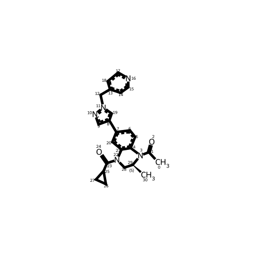 CC(=O)N1c2ccc(-c3cnn(Cc4ccncc4)c3)cc2N(C(=O)C2CC2)C[C@@H]1C